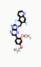 COc1ccc(-c2cnc3ncn(Cc4c(F)cc5ncccc5c4F)c3n2)c(OC)c1